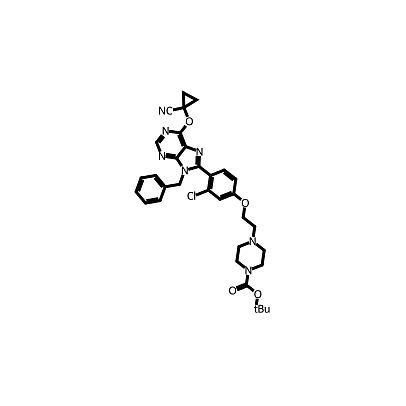 CC(C)(C)OC(=O)N1CCN(CCOc2ccc(-c3nc4c(OC5(C#N)CC5)ncnc4n3Cc3ccccc3)c(Cl)c2)CC1